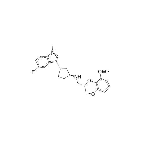 COc1cccc2c1O[C@@H](CN[C@H]1CC[C@H](c3cn(C)c4ccc(F)cc34)C1)CO2